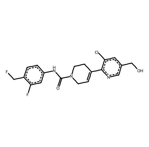 O=C(Nc1ccc(CF)c(F)c1)N1CC=C(c2ncc(CO)cc2Cl)CC1